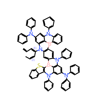 C=C/C=C(\C=C/C)N1c2cc3c(cc2B2c4ccccc4N(c4ccccc4)c4cc(N(c5ccccc5)c5ccccc5)cc1c42)N(c1ccccc1)c1cc(N(c2ccccc2)c2ccccc2)cc2c1B3c1sc3ccccc3c1N2c1ccccc1